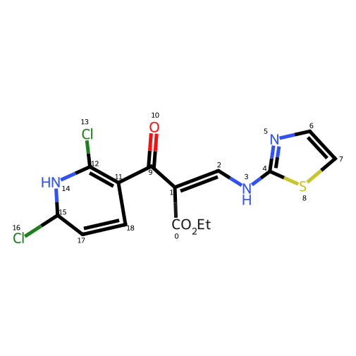 CCOC(=O)/C(=C\Nc1nccs1)C(=O)C1=C(Cl)NC(Cl)C=C1